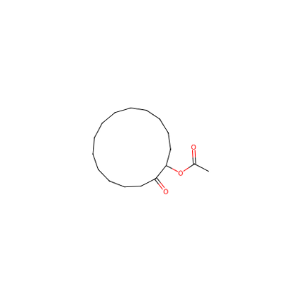 CC(=O)OC1CCCCCCCCCCCCCC1=O